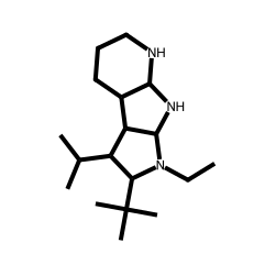 CCN1C2NC3NCCCC3C2C(C(C)C)C1C(C)(C)C